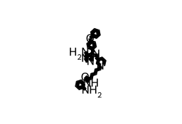 Nc1ccccc1NC(=O)CCCCCN1CCCC(n2nc(-c3ccc(Oc4ccccc4)cc3)c3c(N)ncnc32)C1